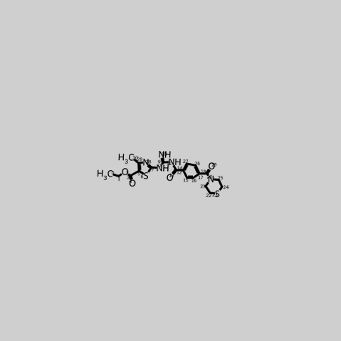 CCOC(=O)c1sc(NC(=N)NC(=O)c2ccc(C(=O)N3CCSCC3)cc2)nc1C